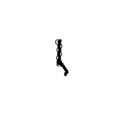 CCCC(C)CCCCCCCc1cn(CCOCCOCCOCCOCCC(=O)C(C)C)nn1